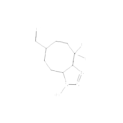 CC(C)CC1CCC2C(N=NN2C(C)C)C(F)(F)CC1